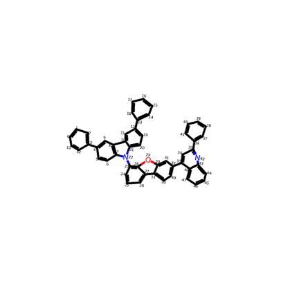 c1ccc(-c2ccc3c(c2)c2cc(-c4ccccc4)ccc2n3-c2cccc3c2oc2cc(-c4cc(-c5ccccc5)nc5ccccc45)ccc23)cc1